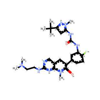 CN(C)CCNc1ncc2cc(-c3ccc(F)c(NC(=O)Nc4cc(C(C)(C)C)nn4C)c3)c(=O)n(C)c2n1